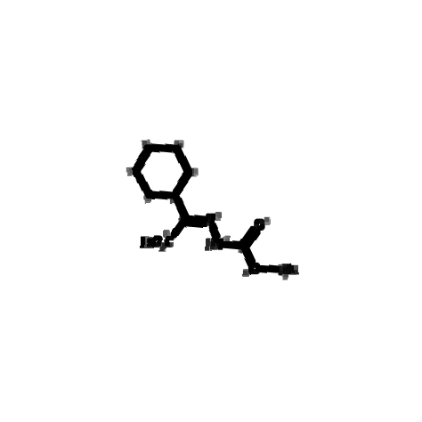 CCOC(=O)/C(=N\NC(=O)OC(C)(C)C)C1CCCCC1